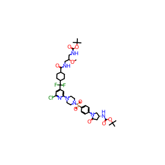 COC(CNC(=O)OC(C)(C)C)CNC(=O)C1CCC(C(F)(F)c2cc(Cl)nc(N3CCN(S(=O)(=O)c4ccc(N5C[C@H](NC(=O)OC(C)(C)C)CC5=O)cc4)CC3)c2)CC1